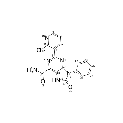 NC(=O)c1nc(-c2cccnc2Cl)nc2c1[nH]c(=O)n2-c1ccccc1